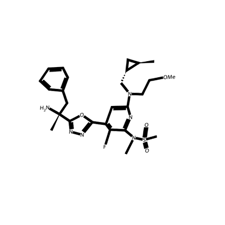 COCCN(C[C@@H]1C[C@H]1C)c1cc(-c2nnc([C@](C)(N)Cc3ccccc3)o2)c(F)c(N(C)S(C)(=O)=O)n1